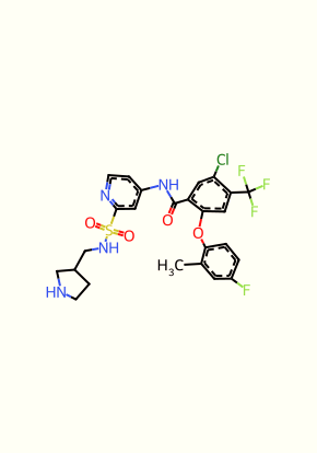 Cc1cc(F)ccc1Oc1cc(C(F)(F)F)c(Cl)cc1C(=O)Nc1ccnc(S(=O)(=O)NCC2CCNC2)c1